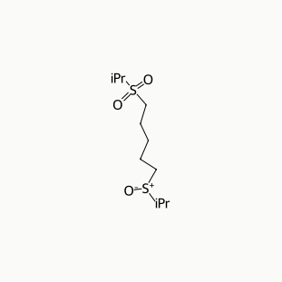 CC(C)[S+]([O-])CCCCCS(=O)(=O)C(C)C